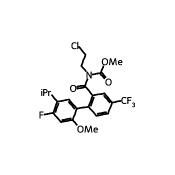 COC(=O)N(CCCl)C(=O)c1cc(C(F)(F)F)ccc1-c1cc(C(C)C)c(F)cc1OC